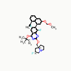 C#Cc1cccc2cc(OCOC)cc(-c3c(F)cc4c(OC(C)(C)C)nc(OC[C@@]56CCCN5C[C@H](F)C6)nc4c3F)c12